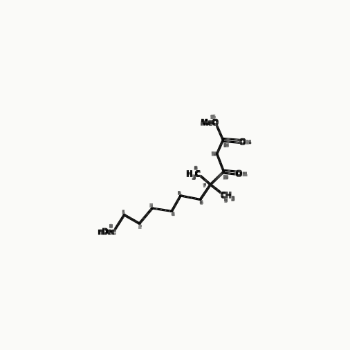 CCCCCCCCCCCCCCCCC(C)(C)C(=O)CC(=O)OC